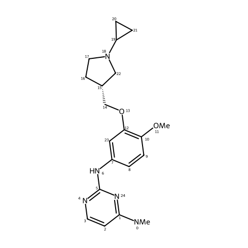 CNc1ccnc(Nc2ccc(OC)c(OC[C@@H]3CCN(C4CC4)C3)c2)n1